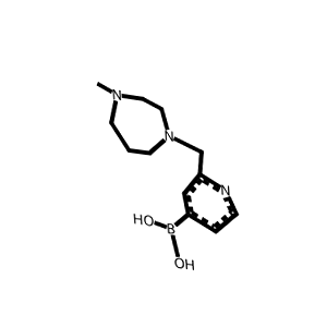 CN1CCCN(Cc2cc(B(O)O)ccn2)CC1